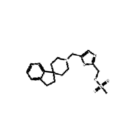 CS(=O)(=O)OCc1ncc(CN2CCC3(CCc4ccccc43)CC2)o1